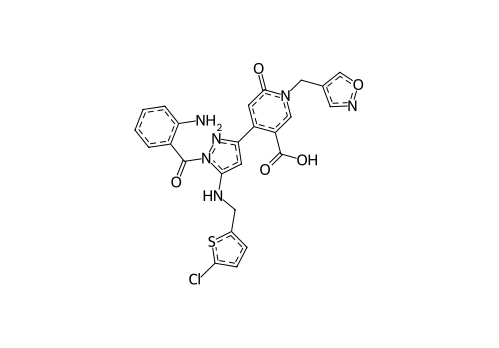 Nc1ccccc1C(=O)n1nc(-c2cc(=O)n(Cc3cnoc3)cc2C(=O)O)cc1NCc1ccc(Cl)s1